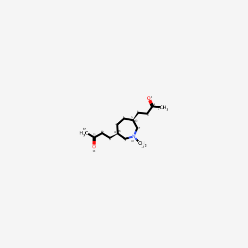 CC(=O)CC[C@@H]1CC[C@H](CCC(C)=O)CN(C)C1